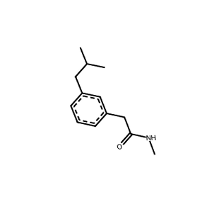 CNC(=O)Cc1cccc(CC(C)C)c1